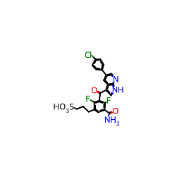 NC(=O)c1cc(CCCS(=O)(=O)O)c(F)c(C(=O)c2c[nH]c3ncc(-c4ccc(Cl)cc4)cc23)c1F